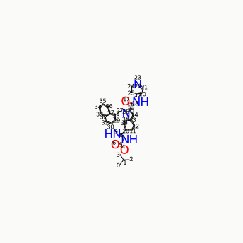 CC(C)COC(=O)NC(=N)c1ccc2cc(C(=O)NC3CCN(C)CC3)n(Cc3cccc4ccccc34)c2c1